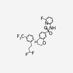 O=S(=O)(Nc1cccc(F)n1)c1ccc2c(c1)OCC[C@@H]2c1ccc(C(F)(F)F)cc1CCC(F)F